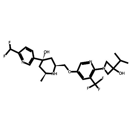 CC(C)C1(O)CN(c2ncc(OC[C@@H]3C[C@](O)(c4ccc(C(F)F)nc4)C[C@H](C)N3)cc2C(F)(F)F)C1